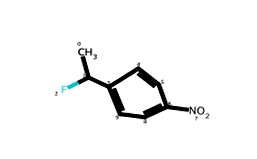 CC(F)c1ccc([N+](=O)[O-])cc1